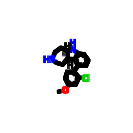 COc1ccc(-c2cccc3c2[C@@H]2CCNCC[C@@H]2N3)c(Cl)c1